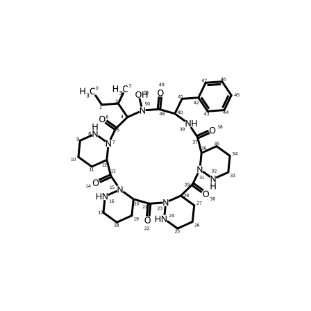 CCC(C)C1C(=O)N2NCCCC2C(=O)N2NCCCC2C(=O)N2NCCCC2C(=O)N2NCCCC2C(=O)NC(Cc2ccccc2)C(=O)N1O